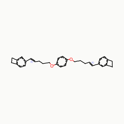 C(=C\c1ccc2c(c1)CC2)/CCCOc1ccc(OCCC/C=C/c2ccc3c(c2)CC3)cc1